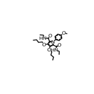 CCCCOc1c(OCCCC)c(C(=O)NCC)n(-c2ccc(OC)cc2)c1C(=O)NCC